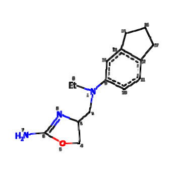 CCN(CC1COC(N)=N1)c1ccc2c(c1)CCC2